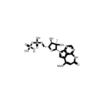 CNC1=CC(=O)Nc2ncnc3c2c1cn3[C@@H]1O[C@H](COP(=O)(O)OP(=O)(O)O)[C@@H](O)[C@@]1(C)O